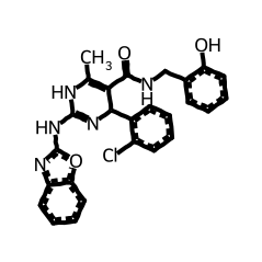 CC1=C(C(=O)NCc2ccccc2O)C(c2ccccc2Cl)N=C(Nc2nc3ccccc3o2)N1